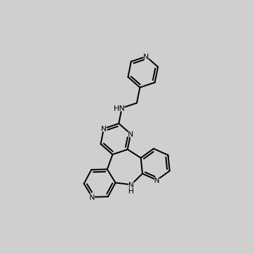 c1cnc2c(c1)-c1nc(NCc3ccncc3)ncc1-c1ccncc1N2